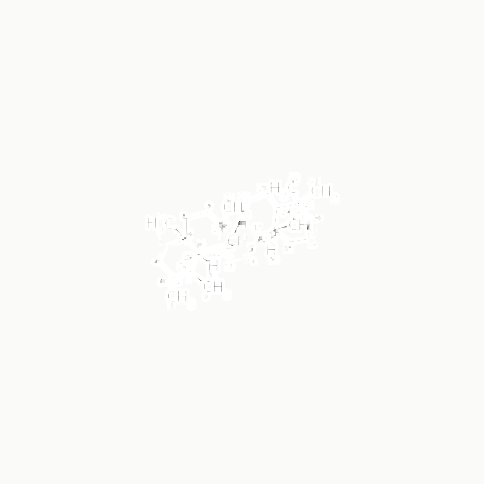 C[C@H]1[C@H](C)CC[C@]2(C)CC[C@]3(C)C(=CC[C@@H]4[C@@]5(C)CCCC(C)(C)C5CC[C@]43C)[C@H]12